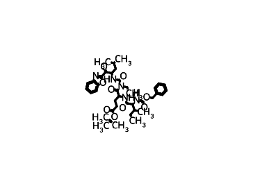 CCC(C)C(NC(=O)OCc1ccccc1)C(=O)NC(CCC(=O)OC(C)(C)C)C(=O)N(CC)C(=O)NC(CC(C)C)C(=O)c1nc2ccccc2o1